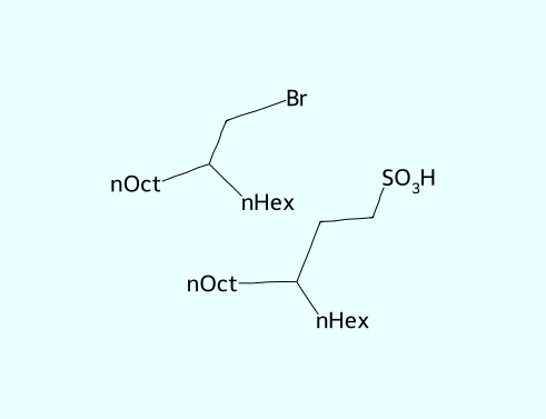 CCCCCCCCC(CBr)CCCCCC.CCCCCCCCC(CCCCCC)CCS(=O)(=O)O